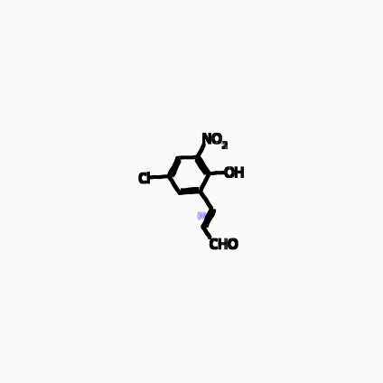 O=C/C=C/c1cc(Cl)cc([N+](=O)[O-])c1O